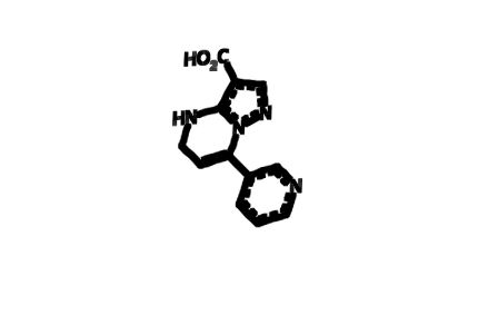 O=C(O)c1cnn2c1NCC=C2c1cccnc1